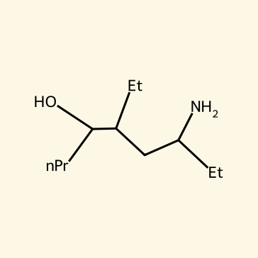 CCCC(O)C(CC)CC(N)CC